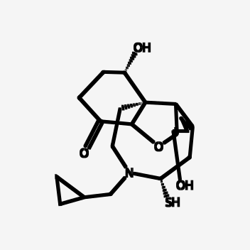 O=C1CC[C@H](O)[C@@]23CCN(CC4CC4)[C@@H](S)Cc4ccc(O)c(c42)OC13